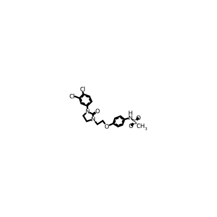 CS(=O)(=O)Nc1ccc(OCCN2CCN(c3ccc(Cl)c(Cl)c3)C2=O)cc1